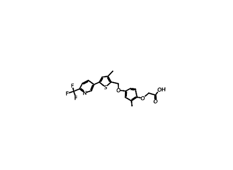 Cc1cc(OCc2sc(-c3ccc(C(F)(F)F)nc3)cc2C)ccc1OCC(=O)O